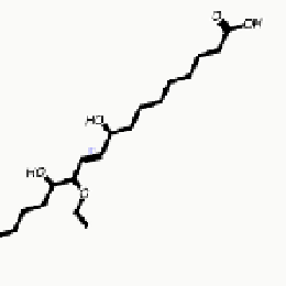 CCCCCC(O)C(/C=C/C(O)CCCCCCCC(=O)O)OCC